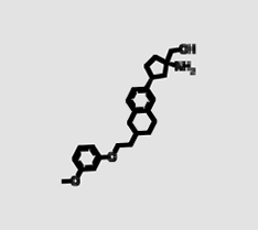 COc1cccc(OCCC2CCc3cc([C@H]4CC[C@](N)(CO)C4)ccc3C2)c1